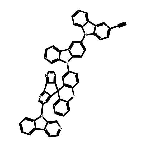 N#Cc1ccc2c(c1)c1ccccc1n2-c1ccc2c(c1)c1ccccc1n2-c1ccc2c(c1)C1(c3ccccc3O2)c2cccnc2-c2ncc(-n3c4ccccc4c4ccncc43)cc21